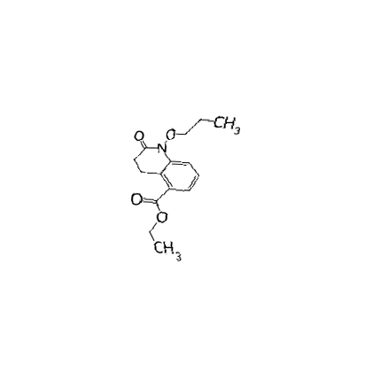 CCCON1C(=O)CCc2c(C(=O)OCC)cccc21